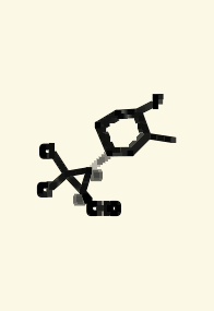 Cc1cc([C@@H]2[C@@H](C=O)C2(Cl)Cl)ccc1F